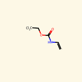 [CH]=CNC(=O)OCC(Cl)(Cl)Cl